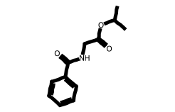 CC(C)OC(=O)CNC(=O)c1ccccc1